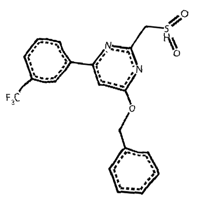 O=[SH](=O)Cc1nc(OCc2ccccc2)cc(-c2cccc(C(F)(F)F)c2)n1